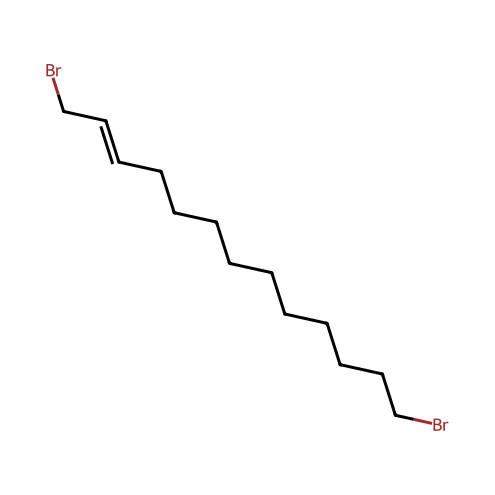 BrCC=CCCCCCCCCCCBr